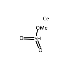 CO[SH](=O)=O.[Ce]